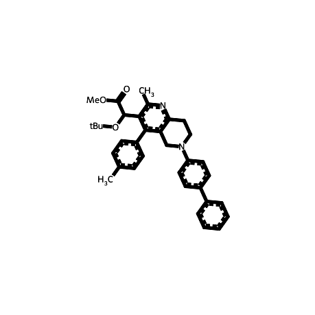 COC(=O)C(OC(C)(C)C)c1c(C)nc2c(c1-c1ccc(C)cc1)CN(c1ccc(-c3ccccc3)cc1)CC2